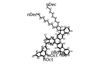 CCCCCCCCCCCCCCCCCCCCC1(CCCCCCCCCCCCCCCCCCCC)c2ccccc2-c2ccc(-c3nc4c(C)sc(-c5cc6c(CCCCCCCC)c(CCCCCCCC)c7cc(C)sc7c6s5)c4nc3-c3ccc4c(c3)C(CCCC)(CCCC)c3ccccc3-4)cc21